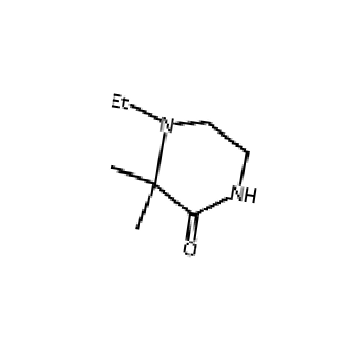 CCN1CCNC(=O)C1(C)C